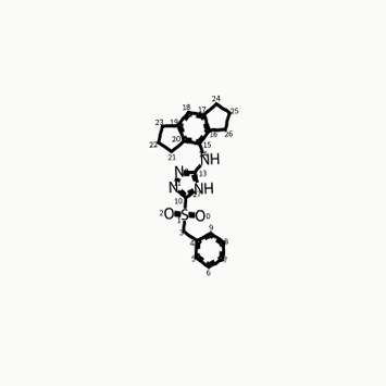 O=S(=O)(Cc1ccccc1)c1nnc(Nc2c3c(cc4c2CCC4)CCC3)[nH]1